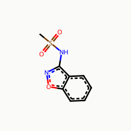 CS(=O)(=O)Nc1noc2ccccc12